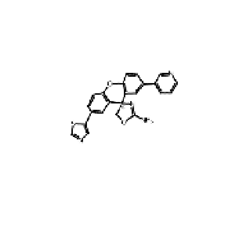 NC1=N[C@@]2(CO1)c1cc(-c3cccnc3)ccc1Oc1ccc(-c3cncs3)cc12